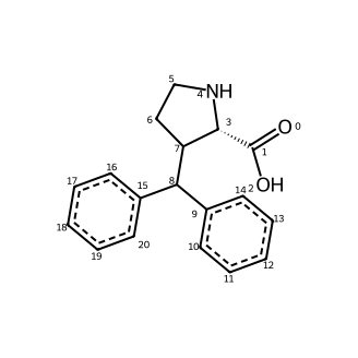 O=C(O)[C@H]1NCCC1C(c1ccccc1)c1ccccc1